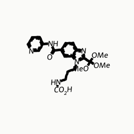 COC(OC)(OC)c1nc2ccc(C(=O)Nc3cccnc3)cc2n1CCCNC(=O)O